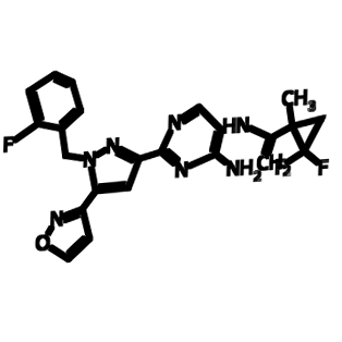 C=C(Nc1cnc(-c2cc(-c3ccon3)n(Cc3ccccc3F)n2)nc1N)C1(C)CC1(F)F